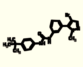 Cn1ncc(Br)c1-c1cccc(NC(=O)Nc2ccc(C(C)(C)C)cc2)c1